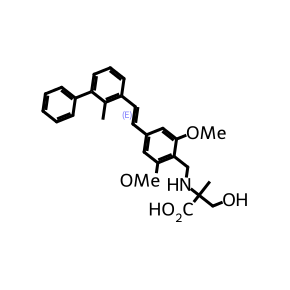 COc1cc(/C=C/c2cccc(-c3ccccc3)c2C)cc(OC)c1CNC(C)(CO)C(=O)O